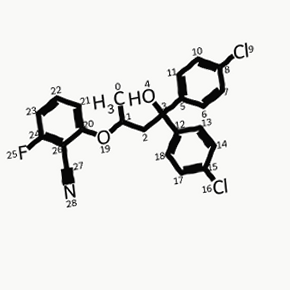 CC(CC(O)(c1ccc(Cl)cc1)c1ccc(Cl)cc1)Oc1cccc(F)c1C#N